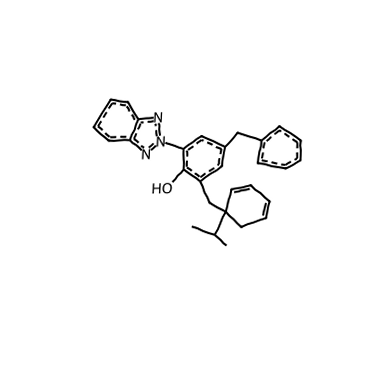 CC(C)C1(Cc2cc(Cc3ccccc3)cc(-n3nc4ccccc4n3)c2O)C=CC=CC1